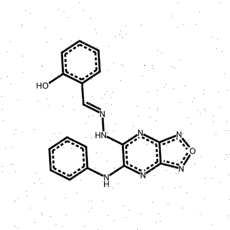 Oc1ccccc1C=NNc1nc2nonc2nc1Nc1ccccc1